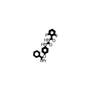 CCCC(Oc1ccc(NC(=O)NC(=O)c2c(F)cccc2F)cc1)C1CCCCC1